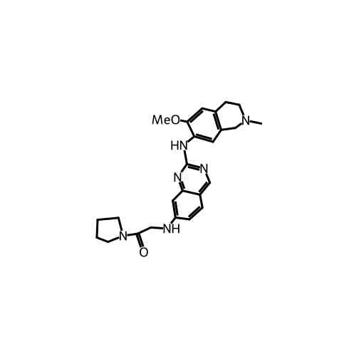 COc1cc2c(cc1Nc1ncc3ccc(NCC(=O)N4CCCC4)cc3n1)CN(C)CC2